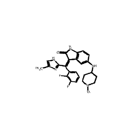 CCN1CCC(Nc2ccc3c(c2)C(=C(c2nc(C)c[nH]2)c2cccc(F)c2F)C(=O)N3)CC1